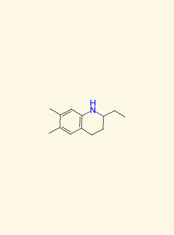 CCC1CCc2cc(C)c(C)cc2N1